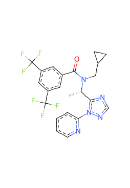 C[C@@H](c1ncnn1-c1ccccn1)N(CC1CC1)C(=O)c1cc(C(F)(F)F)cc(C(F)(F)F)c1